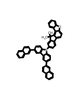 CC1(C)c2cc(-n3c4ccc(-c5ccc6ccccc6c5)cc4c4cc(-c5ccc6ccccc6c5)ccc43)ccc2-c2ccc3oc4ccccc4c3c21